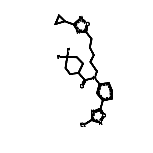 CCc1noc(-c2cccc(N(CCCCCc3nc(C4CC4)no3)C(=O)C3CCC(F)(F)CC3)c2)n1